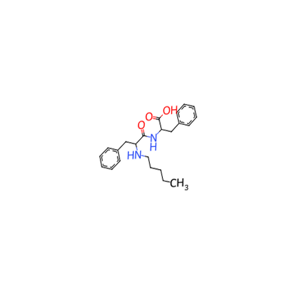 CCCCCNC(Cc1ccccc1)C(=O)NC(Cc1ccccc1)C(=O)O